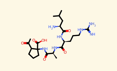 CC(=O)C1CCCC1(NC(=O)[C@H](C)NC(=O)[C@H](CCCNC(=N)N)NC(=O)[C@@H](N)CC(C)C)C(=O)O